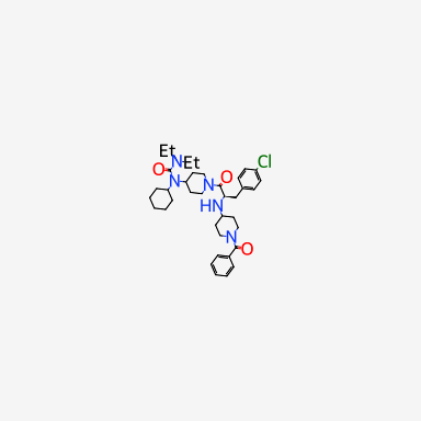 CCN(CC)C(=O)N(C1CCCCC1)C1CCN(C(=O)[C@@H](Cc2ccc(Cl)cc2)NC2CCN(C(=O)c3ccccc3)CC2)CC1